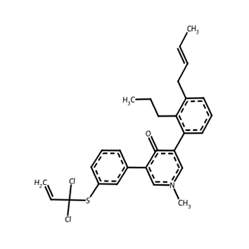 C=CC(Cl)(Cl)Sc1cccc(-c2cn(C)cc(-c3cccc(CC=CC)c3CCC)c2=O)c1